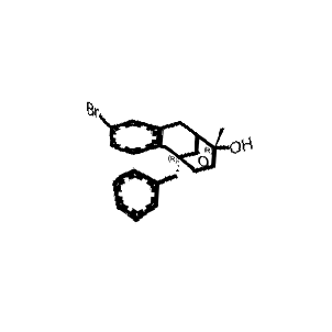 C[C@@]1(O)CC[C@]2(Cc3ccccc3)C(=O)C1Cc1cc(Br)ccc12